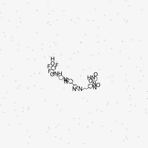 Cn1c(=O)n(C2CCC(=O)NC2=O)c2ccc(CCCN3Cc4cc(-c5ccc6cn([C@H]7CC[C@H](CNC(=O)c8cc(F)c(O)c(F)c8F)CC7)nc6c5)cnc4C3)cc21